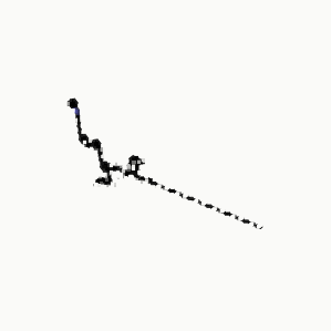 COCCOCCOCCOCCOCCOCCOCCOCCOCCOCCOCCOCCC(=O)NCCCC[C@H](NC(=O)[C@H](CN)N1C(=O)C=CC1=O)C(=O)NCCC(=O)Nc1cc(COC(=O)Nc2cccc(C(=O)N3CCC(CCCCNC(=O)/C=C/c4cccnc4)CC3)c2)ccc1O[C@@H]1O[C@H](C(=O)O)[C@@H](O)[C@H](O)[C@H]1O